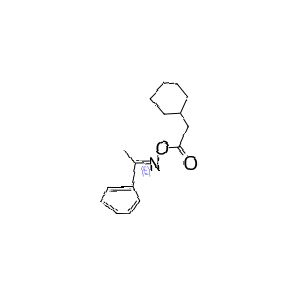 C/C(=N\OC(=O)CC1CCCCC1)c1ccccc1